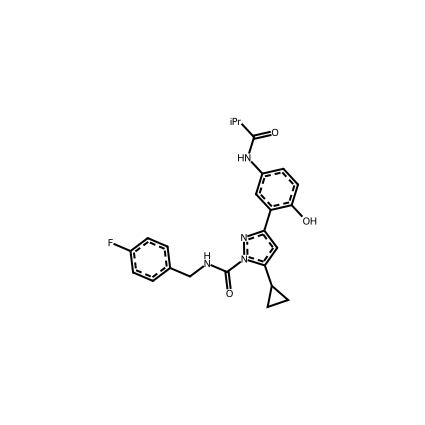 CC(C)C(=O)Nc1ccc(O)c(-c2cc(C3CC3)n(C(=O)NCc3ccc(F)cc3)n2)c1